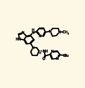 CN1CCN(c2ccc(Nc3cc(N4CCC[C@@H](NC(=O)c5cnc(C(C)(C)C)cn5)C4)cc4[nH]cnc34)nc2)CC1